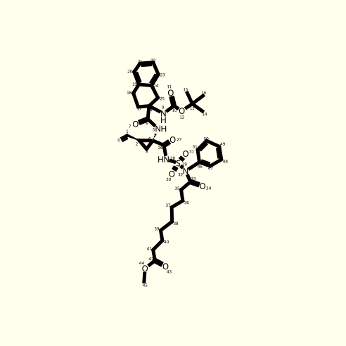 C=C[C@@H]1C[C@]1(NC(=O)C1(NC(=O)OC(C)(C)C)CCc2ccccc2C1)C(=O)NS(=O)(=O)N(C(=O)CCCCCCCC(=O)OC)c1ccccc1